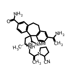 C=C(N)c1ccc2c(c1)CCc1cc(C(N)=O)ccc1C2(C[C@@H](C)NCC(=C)N1CCCC1C#N)C(=N)NC